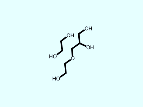 OCCO.OCCOCC(O)CO